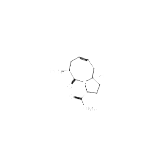 COC(=O)[C@@H]1CC[C@@H]2C/C=C\C[C@H](N)C(=O)N21